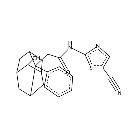 CC1C2CC3CC1CC(C2)C3(CC(=O)Nc1ncc(C#N)s1)c1ccccc1